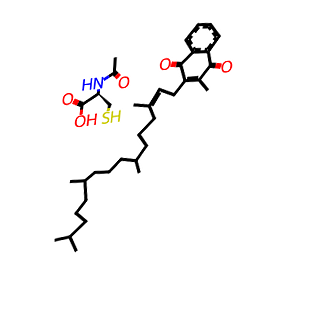 CC(=CCC1=C(C)C(=O)c2ccccc2C1=O)CCCC(C)CCCC(C)CCCC(C)C.CC(=O)N[C@@H](CS)C(=O)O